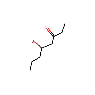 CCCC(Br)CC(=O)CC